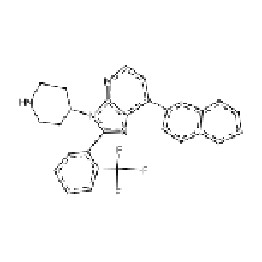 FC(F)(F)c1ccccc1-c1nc2c(-c3ccc4ccccc4c3)ccnc2n1C1CCNCC1